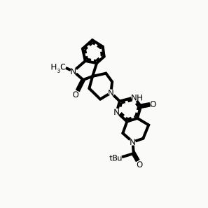 CN1C(=O)C2(CCN(c3nc4c(c(=O)[nH]3)CCN(C(=O)C(C)(C)C)C4)CC2)c2ccccc21